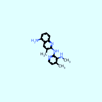 CNc1c(C)ccnc1Nc1nc2cccc(N)c2cc1C